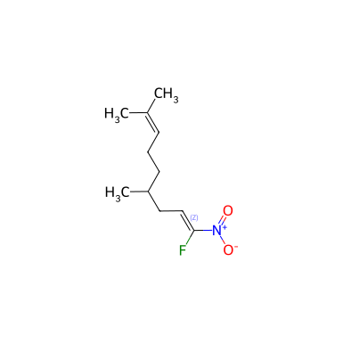 CC(C)=CCCC(C)C/C=C(\F)[N+](=O)[O-]